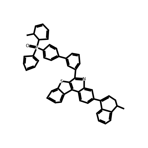 CC1CC=C(c2ccc3c(c2)nc(-c2cccc(-c4ccc(P(=O)(c5ccccc5)C5C=CC=CC5C)cc4)c2)c2sc4ccccc4c23)c2ccccc21